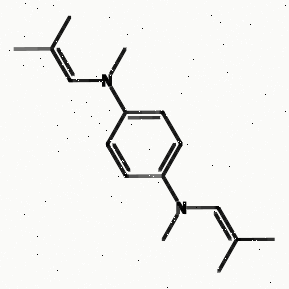 CC(C)=CN(C)c1ccc(N(C)C=C(C)C)cc1